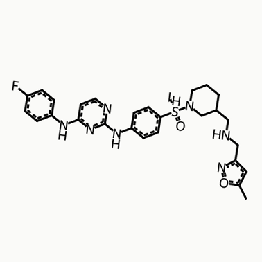 Cc1cc(CNCC2CCCN([SH](=O)(I)c3ccc(Nc4nccc(Nc5ccc(F)cc5)n4)cc3)C2)no1